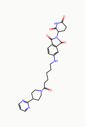 O=C1CCC(N2C(=O)c3ccc(NCCCCCC(=O)N4CCC(c5ncccn5)CC4)cc3C2=O)C(=O)N1